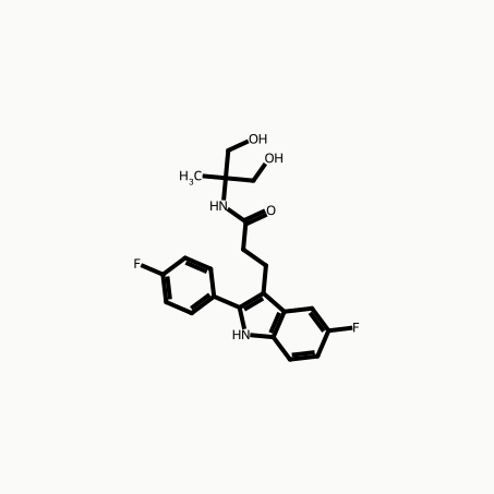 CC(CO)(CO)NC(=O)CCc1c(-c2ccc(F)cc2)[nH]c2ccc(F)cc12